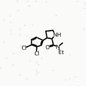 CCN(C)C(=O)C1NCCC1c1ccc(Cl)c(Cl)c1